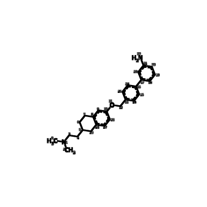 CN(C)CCC1CCc2cc(OCc3ccc(-c4cccc(N)c4)cc3)ccc2C1